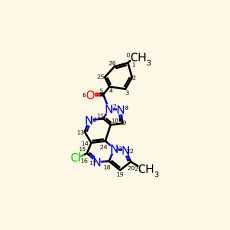 Cc1ccc(C(=O)n2ncc3c2ncc2c(Cl)nc4cc(C)nn4c23)cc1